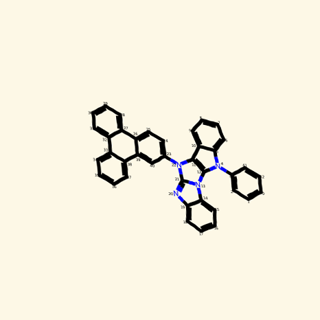 c1ccc(-n2c3ccccc3c3c2n2c4ccccc4nc2n3-c2ccc3c4ccccc4c4ccccc4c3c2)cc1